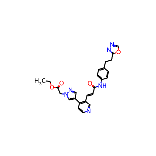 CCOC(=O)Cn1cc(-c2ccncc2/C=C/C(=O)Nc2ccc(CCc3nnco3)cc2)cn1